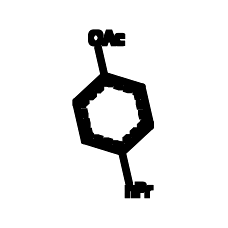 CCCc1ccc(OC(C)=O)cc1